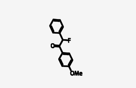 COc1ccc(C(=O)C(F)c2ccccc2)cc1